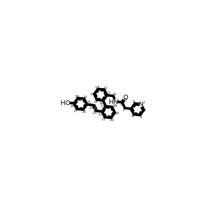 O=C(Cc1cccnc1)NCc1ccccc1-c1ccccc1/C=C/c1ccc(O)cc1